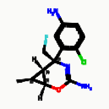 C[C@@H]1[C@@H]2OC(N)=N[C@@](CF)(c3cc(N)ccc3Cl)[C@H]12